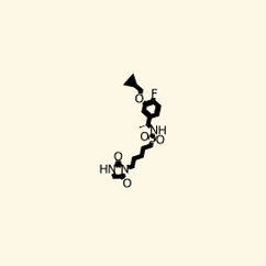 C[C@@H](NS(=O)(=O)CCCCCN1C(=O)CNC1=O)c1ccc(F)c(OCC2CC2)c1